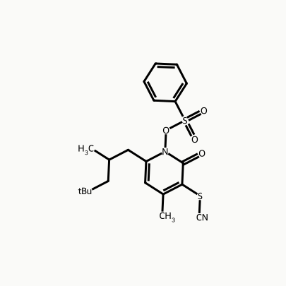 Cc1cc(CC(C)CC(C)(C)C)n(OS(=O)(=O)c2ccccc2)c(=O)c1SC#N